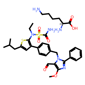 CCN(c1sc(CC(C)C)cc1-c1ccc(Cn2c(-c3ccccc3)nc(OC)c2C=O)cc1)S(=O)(=O)C(N)=O.NCCCC[C@H](N)C(=O)O